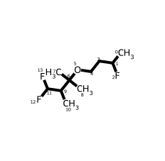 CC(F)CCOC(C)(C)C(C)C(F)F